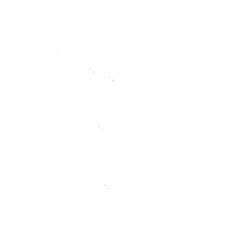 CCS(=O)(=O)c1ccc(N2CCC(F)(F)CC2)c(C(=O)N2Cc3cn(-c4cc(F)ccc4F)nc3C2)c1